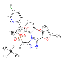 COc1cccc(OC)c1-n1c(-c2ccc(C)o2)nnc1C(CC[Si](C)(C)C)S(=O)(=O)[C@H](C)[C@@H](O)c1ccc(F)cn1